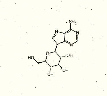 Nc1ncnc2c1ncn2[C@@H]1O[C@H](CO)[C@@H](O)[C@H](O)[C@H]1O